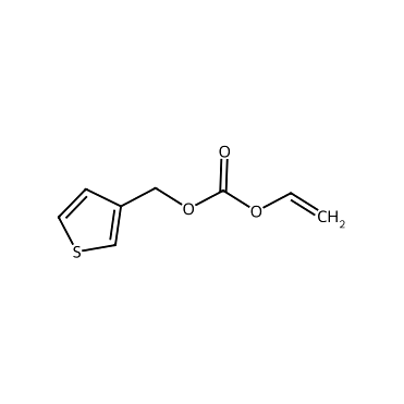 C=COC(=O)OCc1ccsc1